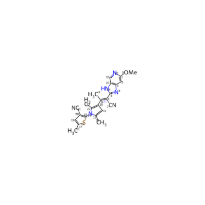 COc1cc2nc(/C(C#N)=C(\C)c3cc(C)n(-c4sc(C)cc4C#N)c3C)[nH]c2cn1